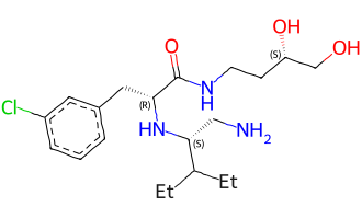 CCC(CC)[C@@H](CN)N[C@H](Cc1cccc(Cl)c1)C(=O)NCC[C@H](O)CO